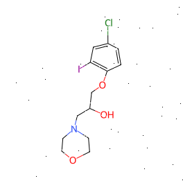 OC(COc1ccc(Cl)cc1I)CN1CCOCC1